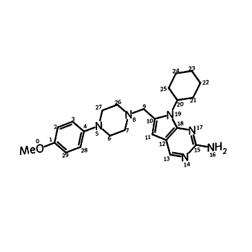 COc1ccc(N2CCN(Cc3cc4cnc(N)nc4n3C3CCCCC3)CC2)cc1